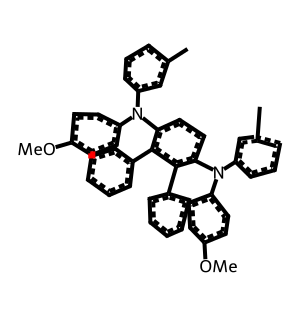 COc1ccc(N(c2cccc(C)c2)c2ccc(N(c3ccc(OC)cc3)c3cccc(C)c3)c(-c3ccccc3)c2-c2ccccc2)cc1